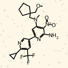 COCC1(CN(C)c2cc(-c3cnc(C4CC4)c(C(F)(F)F)c3)nc(N)c2[N+](=O)[O-])CCCC1